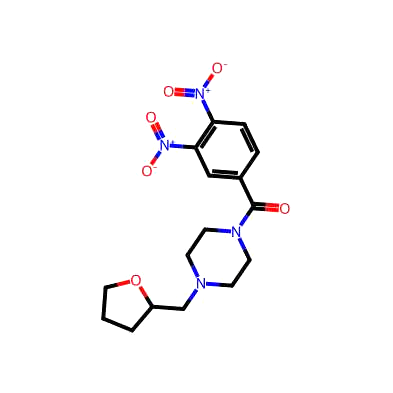 O=C(c1ccc([N+](=O)[O-])c([N+](=O)[O-])c1)N1CCN(CC2CCCO2)CC1